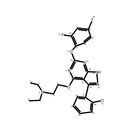 CCN(CC)CCOc1nc(Oc2ccc(F)cc2F)nc2[nH]nc(-c3ccccc3Cl)c12